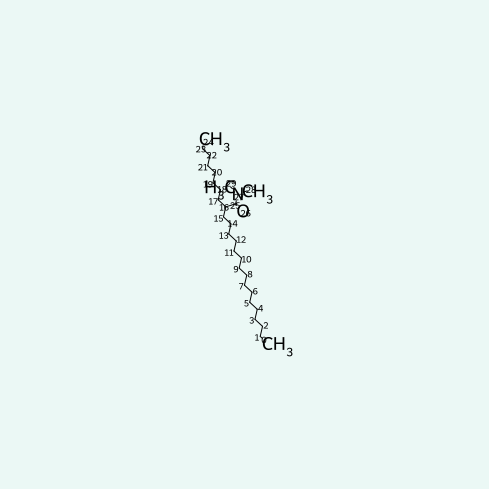 CCCCCCCCCCCCCCCCC(CCCCCCCC)C(=O)N(C)C